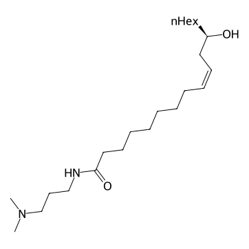 CCCCCC[C@@H](O)C/C=C\CCCCCCCC(=O)NCCCN(C)C